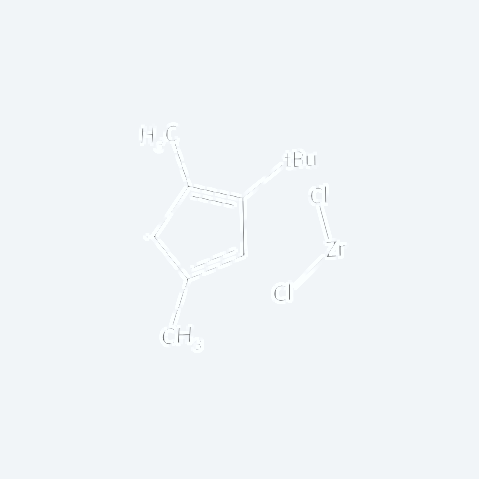 CC1=CC(C(C)(C)C)=C(C)[CH]1.[Cl][Zr][Cl]